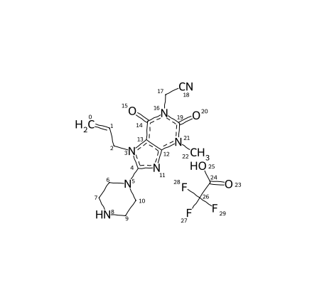 C=CCn1c(N2CCNCC2)nc2c1c(=O)n(CC#N)c(=O)n2C.O=C(O)C(F)(F)F